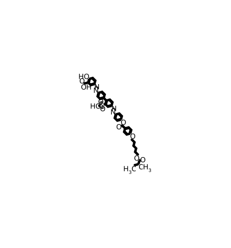 CCC(C)C(=O)OCCCCCCOc1ccc(C(=O)Oc2ccc(N=Nc3ccc(-c4ccc(N=Nc5ccc(O)c(C(=O)O)c5)cc4)c(S(=O)(=O)O)c3)cc2)cc1